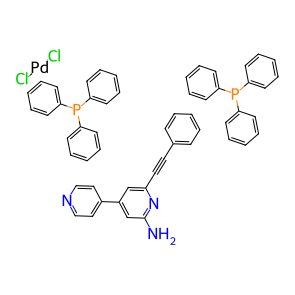 Nc1cc(-c2ccncc2)cc(C#Cc2ccccc2)n1.[Cl][Pd][Cl].c1ccc(P(c2ccccc2)c2ccccc2)cc1.c1ccc(P(c2ccccc2)c2ccccc2)cc1